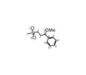 COC(CC[Si](C)(Cl)Cl)c1ccccc1